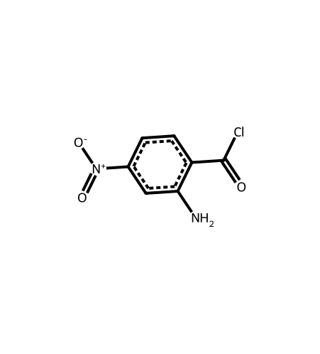 Nc1cc([N+](=O)[O-])ccc1C(=O)Cl